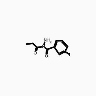 CCC(=O)N(N)C(=O)c1cccc(I)c1